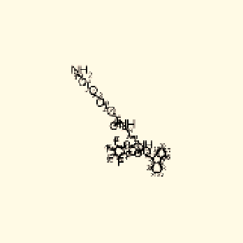 NCCOCCOCCOCCOCCC(=O)NCCCCC(NC(=O)OCC1c2ccccc2-c2ccccc21)C(=O)Oc1c(F)c(F)c(F)c(F)c1F